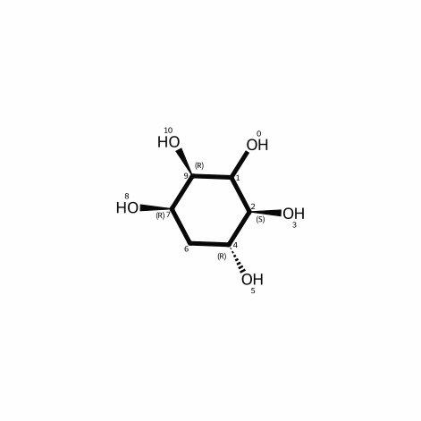 OC1[C@@H](O)[C@H](O)C[C@@H](O)[C@H]1O